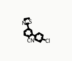 N#Cc1ccc(-c2nccs2)cc1-c1ccc(Cl)cc1